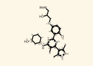 CNCC(O)COc1ccc(Cl)c(-c2nc(N[C@H]3CCC[C@@H](O)C3)c(C)c(-c3c(C)noc3C)n2)c1